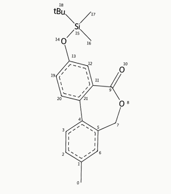 Cc1ccc2c(c1)COC(=O)c1cc(O[Si](C)(C)C(C)(C)C)ccc1-2